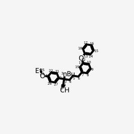 C#CC(CCCC)(CCCc1cccc(Oc2ccccc2)c1)c1ccc(OCC)cc1